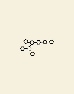 c1ccc(-c2ccc(-c3ccc(-c4cc(-c5nc(-c6ccccc6)nc(-c6ccccc6)n5)c5c(c4)oc4ccccc45)cc3)cc2)cc1